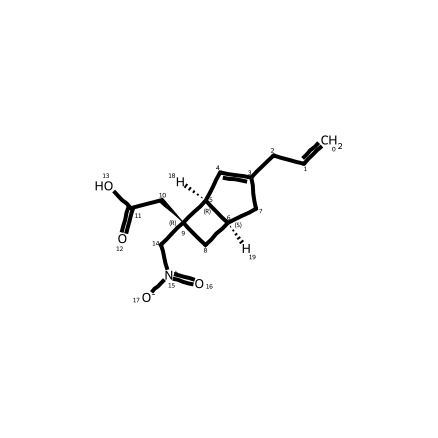 C=CCC1=C[C@H]2[C@@H](C1)C[C@]2(CC(=O)O)C[N+](=O)[O-]